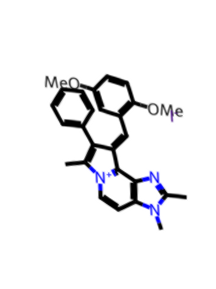 COc1ccc(OC)c(/C=C2\C(c3ccccc3)=C(C)[n+]3ccc4c(nc(C)n4C)c32)c1.[I-]